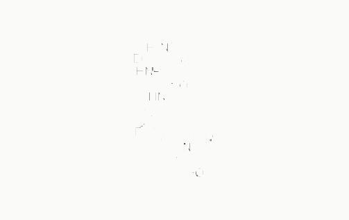 CCN[C@@H](C(N)=O)C(=O)Nc1ccc(N2CCOCC2=O)cc1C(F)F